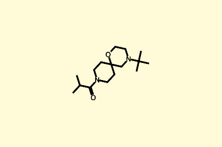 CC(C)C(=O)N1CCC2(CC1)CN(C(C)(C)C)CCO2